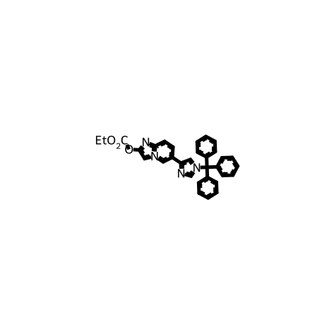 CCOC(=O)Oc1cn2cc(-c3cn(C(c4ccccc4)(c4ccccc4)c4ccccc4)cn3)ccc2n1